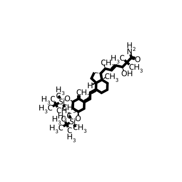 C=C1/C(=C\C=C2/CCC[C@]3(C)[C@@H]([C@H](C)/C=C/[C@@H](O)C(C)(C)C(N)=O)CC[C@@H]23)C[C@@H](O[Si](C)(C)C(C)(C)C)C[C@@H]1O[Si](C)(C)C(C)(C)C